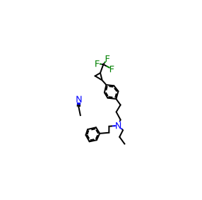 CC#N.CCCN(CCCc1ccc(C2CC2C(F)(F)F)cc1)CCc1ccccc1